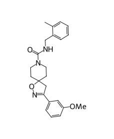 COc1cccc(C2=NOC3(CCN(C(=O)NCc4ccccc4C)CC3)C2)c1